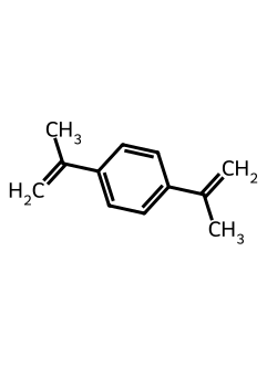 C=C(C)c1ccc(C(=C)C)cc1